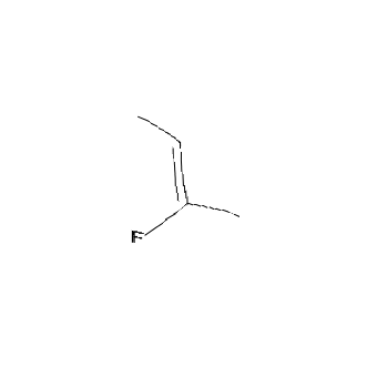 CC=C(C)F